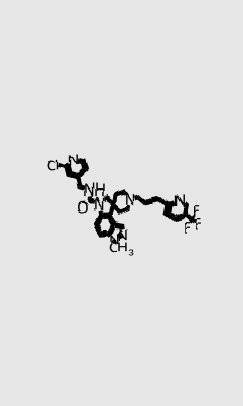 Cn1ncc2c3c(ccc21)N(C(=O)NCc1ccnc(Cl)c1)CC31CCN(C/C=C/c2ccc(C(F)(F)F)cn2)CC1